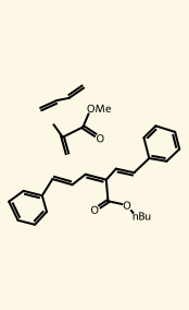 C=C(C)C(=O)OC.C=CC=C.CCCCOC(=O)C(C=Cc1ccccc1)=CC=Cc1ccccc1